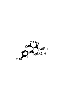 CC(C)(C)OC(=O)N(C(=O)C(C)(C)C)C(=NC(=O)O)n1ccc(C(C)(C)C)n1